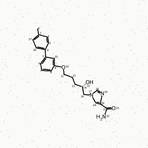 Cc1ccc(-c2cccc(OCCC[C@H](O)Cn3cnc(C(N)=O)c3)c2)cc1